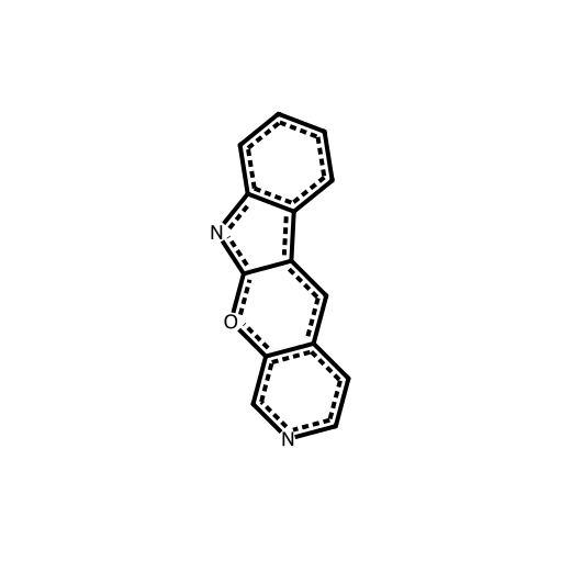 c1ccc2c3cc4ccncc4oc-3nc2c1